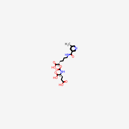 Cc1cncc(C(=O)NCCCC[C@H](OC(=O)N[C@@H](CCC(=O)O)C(=O)O)C(=O)O)c1